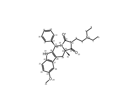 CCN(CC)CCN1C(=O)N2[C@H](c3ccccc3)c3[nH]c4ccc(OC)cc4c3C[C@@]2(C)C1=O